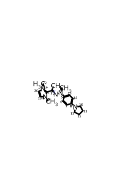 C/C(=N\N(C)c1ccc(N2CCCC2)cc1)c1n(C)cc[n+]1C